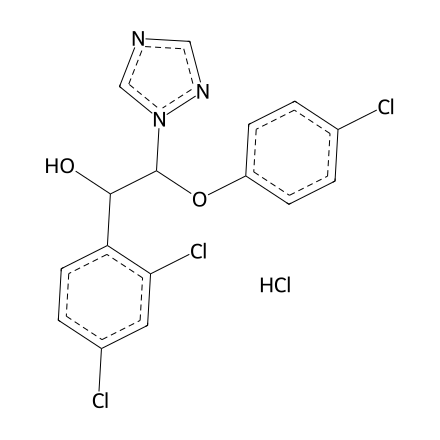 Cl.OC(c1ccc(Cl)cc1Cl)C(Oc1ccc(Cl)cc1)n1cncn1